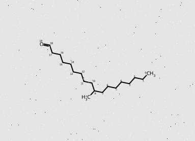 CCCCCCCCC(C)CCCCCCCCC=O